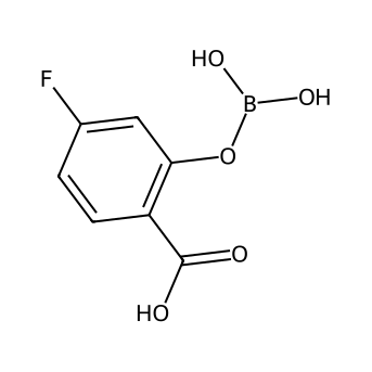 O=C(O)c1ccc(F)cc1OB(O)O